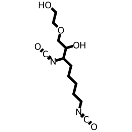 O=C=NCCCCCC(N=C=O)C(O)COCCO